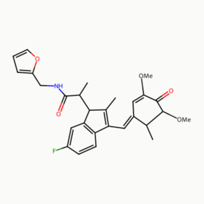 COC1=C/C(=C\C2=C(C)C(C(C)C(=O)NCc3ccco3)c3cc(F)ccc32)C(C)C(OC)C1=O